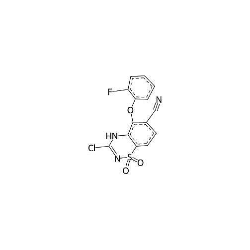 N#Cc1ccc2c(c1Oc1ccccc1F)NC(Cl)=NS2(=O)=O